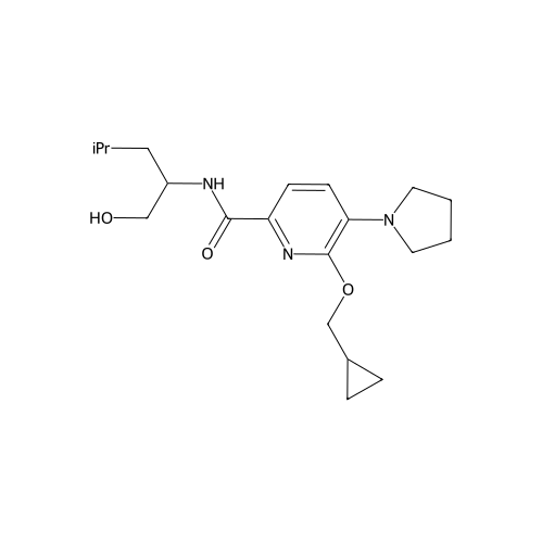 CC(C)CC(CO)NC(=O)c1ccc(N2CCCC2)c(OCC2CC2)n1